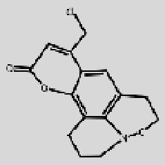 O=c1cc(CCl)c2cc3c4c(c2o1)CCCN4CCC3